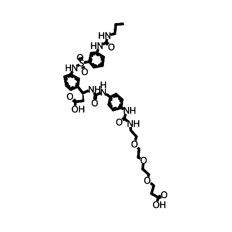 CCCNC(=O)Nc1cccc(S(=O)(=O)Nc2cccc([C@H](CC(=O)O)NC(=O)Nc3ccc(NC(=O)NCCOCCOCCOCCC(=O)O)cc3)c2)c1